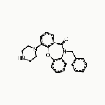 O=C1c2cccc(N3CCNCC3)c2Oc2ccccc2N1Cc1ccccc1